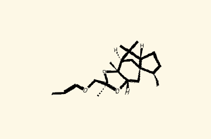 CC=COC[C@]1(C)O[C@H]2C[C@@]34C[C@H](C(C)(C)[C@@H]3CC[C@H]4C)[C@@]2(C)O1